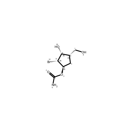 NC(=O)O[C@@H]1C[C@@H](CO)[C@@H](O)[C@H]1Br